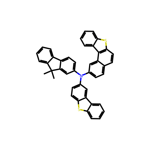 CC1(C)c2ccccc2-c2ccc(N(c3ccc4sc5ccccc5c4c3)c3ccc4ccc5sc6ccccc6c5c4c3)cc21